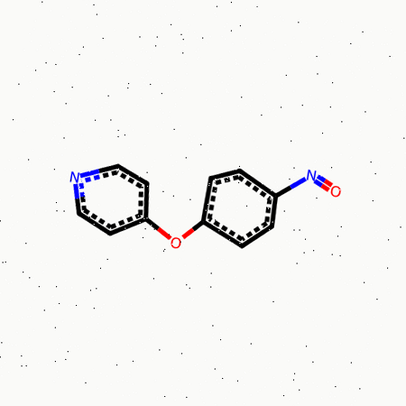 O=Nc1ccc(Oc2ccncc2)cc1